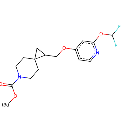 CC(C)(C)OC(=O)N1CCC2(CC1)CC2COc1ccnc(OC(F)F)c1